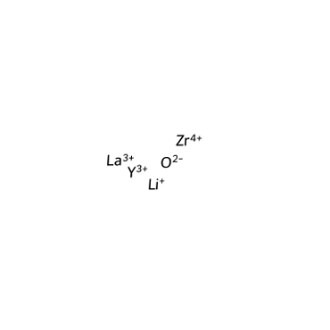 [La+3].[Li+].[O-2].[Y+3].[Zr+4]